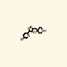 OC1(CC2CC(c3ccc(Br)cn3)=NO2)CCNCC1